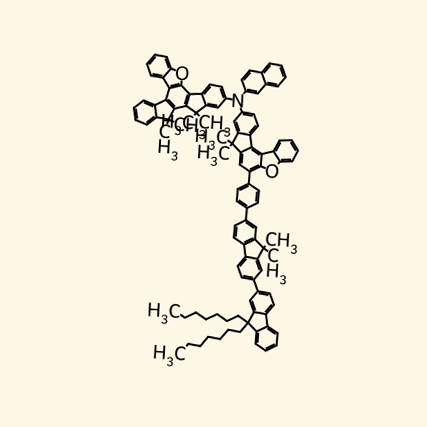 CCCCCCCC1(CCCCCCC)c2ccccc2-c2ccc(-c3ccc4c(c3)C(C)(C)c3cc(-c5ccc(-c6cc7c(c8c6oc6ccccc68)-c6ccc(N(c8ccc9c(c8)C(C)(C)c8c%10c(c%11c(oc%12ccccc%12%11)c8-9)-c8ccccc8C%10(C)C)c8ccc9ccccc9c8)cc6C7(C)C)cc5)ccc3-4)cc21